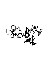 CCC(C)C(=O)N1CCN(c2cc(S(=O)(=O)NC3(C#N)CC3)cc3c2cnn3-c2nnc(C(F)F)s2)CC1